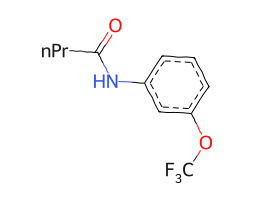 CCCC(=O)Nc1cccc(OC(F)(F)F)c1